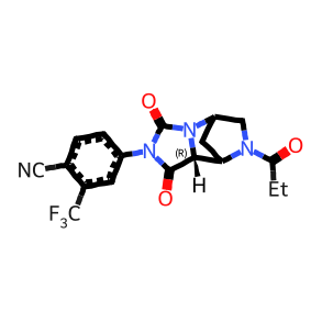 CCC(=O)N1CC2CC1[C@@H]1C(=O)N(c3ccc(C#N)c(C(F)(F)F)c3)C(=O)N21